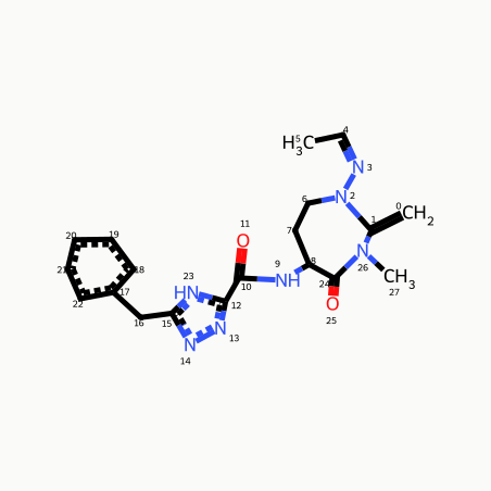 C=C1N(/N=C\C)CCC(NC(=O)c2nnc(Cc3ccccc3)[nH]2)C(=O)N1C